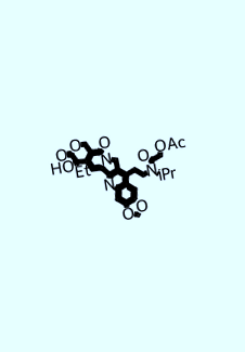 CC[C@@]1(O)C(=O)OCc2c1cc1n(c2=O)Cc2c-1nc1cc3c(cc1c2CCN(C(=O)COC(C)=O)C(C)C)OCO3